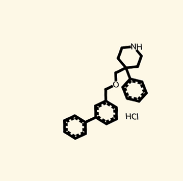 Cl.c1ccc(-c2cccc(COCC3(c4ccccc4)CCNCC3)c2)cc1